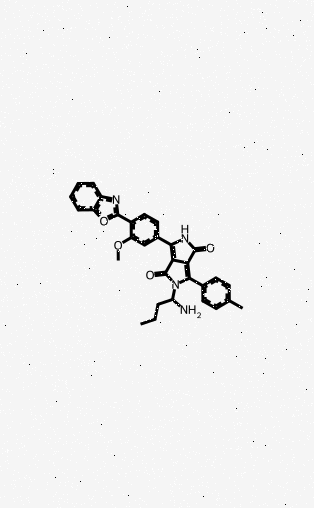 CCCC(N)N1C(=O)C2=C(c3ccc(-c4nc5ccccc5o4)c(OC)c3)NC(=O)C2=C1c1ccc(C)cc1